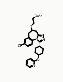 COCCOC1Cc2cc(Cl)ccc2-n2c(nnc2[C@H]2CC[C@H](Oc3ccccn3)CC2)C1